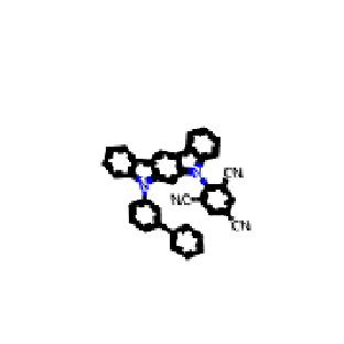 N#Cc1cc(C#N)c(-n2c3ccccc3c3cc4c5ccccc5n(-c5cccc(-c6ccccc6)c5)c4cc32)c(C#N)c1